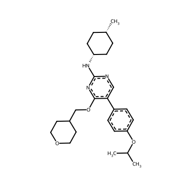 CC(C)Oc1ccc(-c2cnc(N[C@H]3CC[C@@H](C)CC3)nc2OCC2CCOCC2)cc1